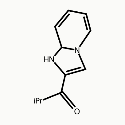 CC(C)C(=O)C1=CN2C=CC=CC2N1